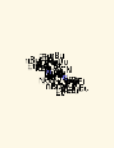 CCCCC(CC)CN(CC(CC)CCCC)C(=O)c1cc(/N=N/c2c(C)c(C#N)c(=O)n(CCn3c(O)c(/N=N/c4cc(C(=O)N(CC(CC)CCCC)CC(CC)CCCC)cc(C(=O)N(CC(CC)CCCC)CC(CC)CCCC)c4)c(C)c(C#N)c3=O)c2O)cc(C(=O)N(CC(CC)CCCC)CC(CC)CCCC)c1